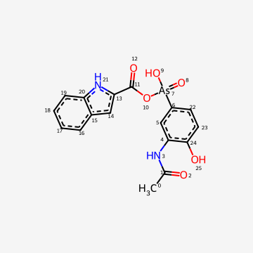 CC(=O)Nc1cc([As](=O)(O)OC(=O)c2cc3ccccc3[nH]2)ccc1O